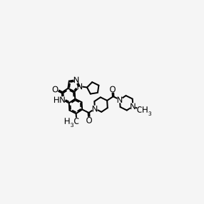 Cc1cc2[nH]c(=O)c3cnn(C4CCCC4)c3c2cc1C(=O)N1CCC(C(=O)N2CCN(C)CC2)CC1